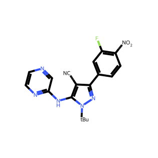 CC(C)(C)n1nc(-c2ccc([N+](=O)[O-])c(F)c2)c(C#N)c1Nc1cnccn1